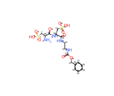 N[C@@H](CS(=O)(=O)O)C(=O)N[C@@H](CS(=O)(=O)O)C(=O)NCCNC(=O)OCc1ccccc1